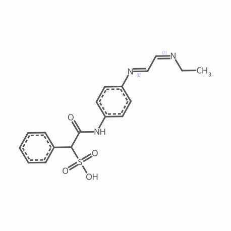 CC/N=C\C=N\c1ccc(NC(=O)C(c2ccccc2)S(=O)(=O)O)cc1